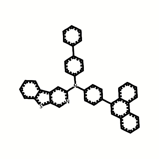 c1ccc(-c2ccc(N(c3ccc(-c4cc5ccccc5c5ccccc45)cc3)c3cc4c(cn3)sc3ccccc34)cc2)cc1